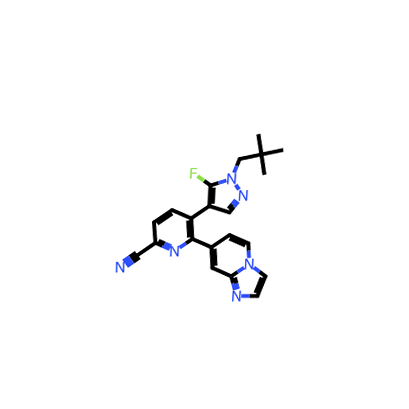 CC(C)(C)Cn1ncc(-c2ccc(C#N)nc2-c2ccn3ccnc3c2)c1F